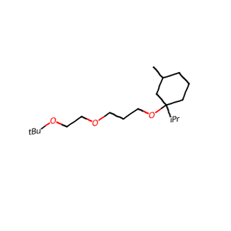 CC1CCCC(OCCCOCCOC(C)(C)C)(C(C)C)C1